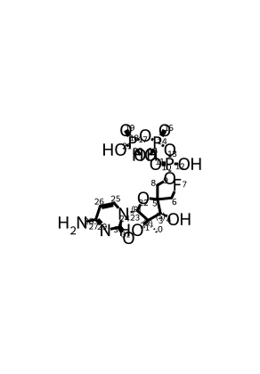 C[C@@]1(O)[C@H](O)C(CF)(COP(=O)(O)OP(=O)(O)OP(=O)(O)O)O[C@H]1n1ccc(N)nc1=O